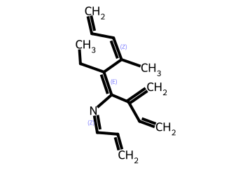 C=C\C=N/C(C(=C)C=C)=C(CC)/C(C)=C\C=C